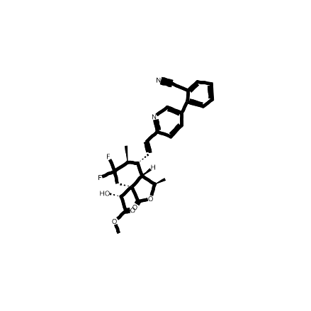 COC(=O)[C@H](O)[C@@]12CC(F)(F)[C@@H](C)[C@H](C=Cc3ccc(-c4ccccc4C#N)cn3)[C@@H]1[C@@H](C)OC2=O